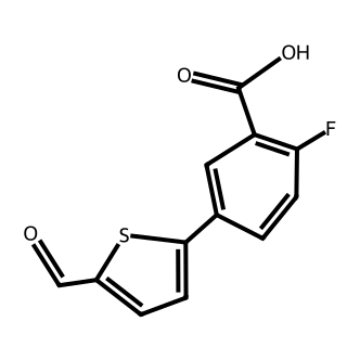 O=Cc1ccc(-c2ccc(F)c(C(=O)O)c2)s1